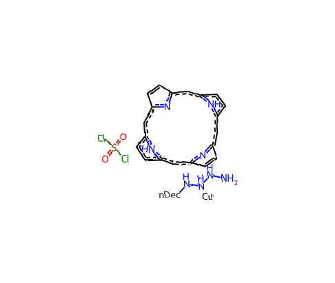 C1=Cc2cc3ccc(cc4nc(cc5ccc(cc1n2)[nH]5)C=C4)[nH]3.CCCCCCCCCCNNNN.O=S(=O)(Cl)Cl.[Cu]